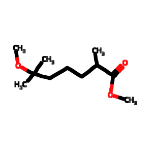 COC(=O)C(C)CCCC(C)(C)OC